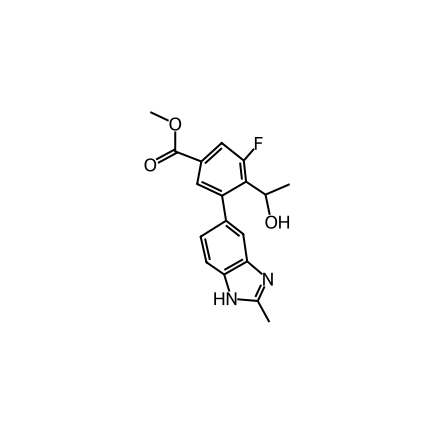 COC(=O)c1cc(F)c(C(C)O)c(-c2ccc3[nH]c(C)nc3c2)c1